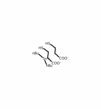 CCC[CH2][Sn+2][CH2]CCC.O=C([O-])CCS.O=C([O-])CCS